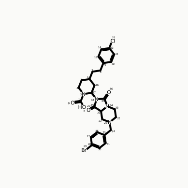 O=C(O)N1CCC(CCc2ccc(Cl)cc2)CC1N1C(=O)C2CN(Cc3ccc(Br)cc3)CCN2C1=O